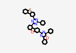 c1ccc(-c2nc(-c3ccc4sc5ccccc5c4c3)nc(-c3cccc4oc5cc(-c6nc(-c7ccccc7)c7oc8ccccc8c7n6)ccc5c34)n2)cc1